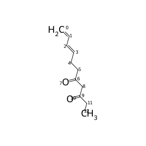 C=CC=CCCC(=O)CC(=O)CC